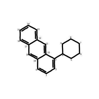 [c]1ccc(C2CCCCC2)c2cc3ccccc3cc12